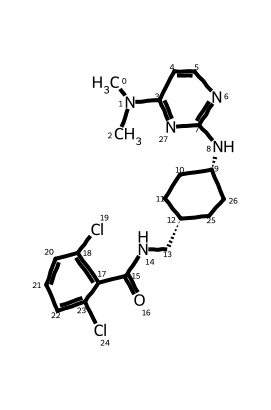 CN(C)c1ccnc(N[C@H]2CC[C@@H](CNC(=O)c3c(Cl)cccc3Cl)CC2)n1